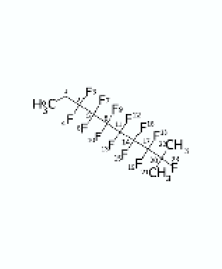 CCC(F)(F)C(F)(F)C(F)(F)C(F)(F)C(F)(F)C(F)(F)C(C)(C)F